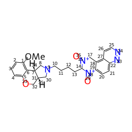 COc1cccc2c1[C@@H]1CN(CCCCC3[N+](=O)Cc4c(ccc5nnccc45)[N+]3=O)C[C@@H]1CO2